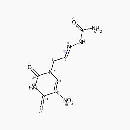 NC(=O)N/N=C/Cn1cc([N+](=O)[O-])c(=O)[nH]c1=O